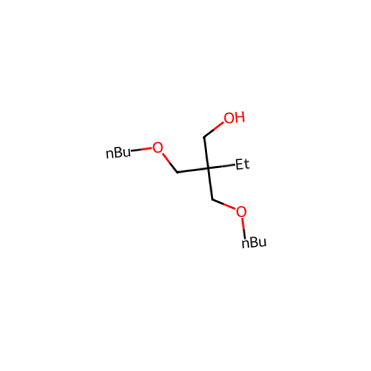 CCCCOCC(CC)(CO)COCCCC